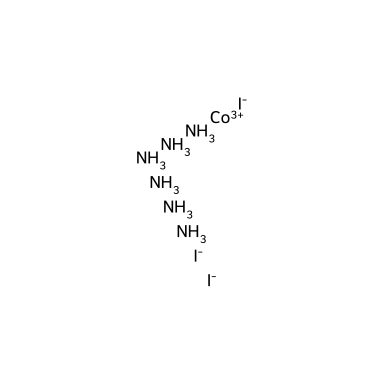 N.N.N.N.N.N.[Co+3].[I-].[I-].[I-]